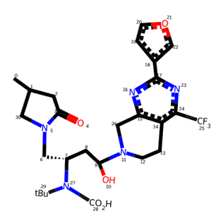 CC1CC(=O)N(C[C@H](CC(O)N2CCc3c(nc(-c4ccoc4)nc3C(F)(F)F)C2)N(C(=O)O)C(C)(C)C)C1